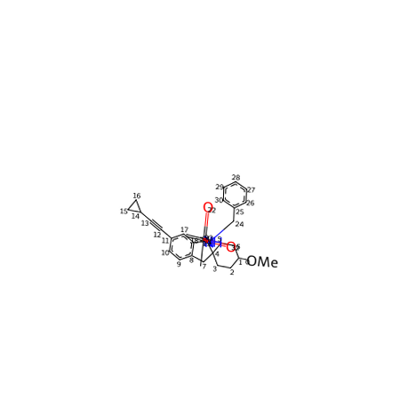 COC1CCC2(CC1)Cc1ccc(C#CC3CC3)cc1C21NC(=O)N(Cc2ccccc2)C1=O